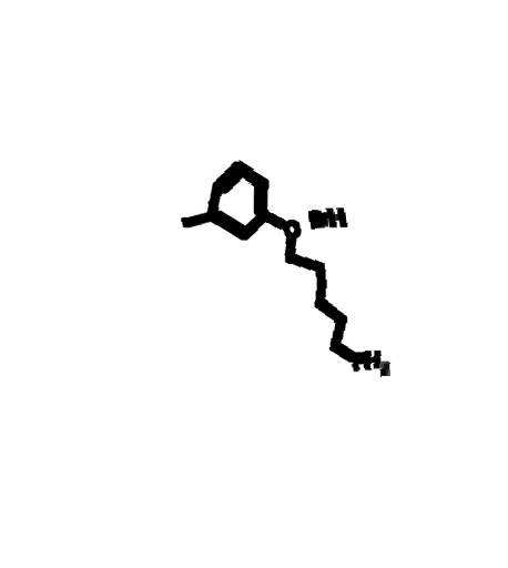 Br.Cc1cccc(OCCCCCP)c1